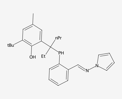 CCCC(CC)(Pc1ccccc1/C=N/n1cccc1)c1cc(C)cc(C(C)(C)C)c1O